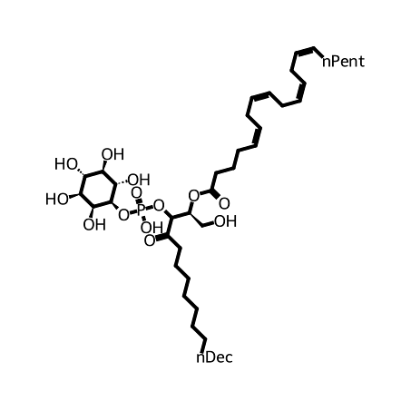 CCCCC/C=C\C/C=C\C/C=C\C/C=C\CCCC(=O)O[C@@H](CO)C(OP(=O)(O)O[C@@H]1[C@@H](O)[C@H](O)[C@@H](O)[C@H](O)[C@@H]1O)C(=O)CCCCCCCCCCCCCCCCC